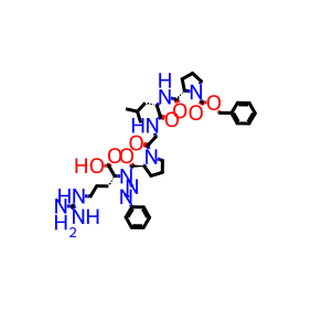 CC(C)C[C@H](NC(=O)[C@@H]1CCCN1C(=O)OCc1ccccc1)C(=O)NCC(=O)N1CCC[C@H]1C(=O)N(N=Nc1ccccc1)[C@H](CCCNC(=N)N)C(=O)O